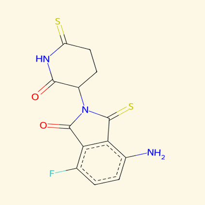 Nc1ccc(F)c2c1C(=S)N(C1CCC(=S)NC1=O)C2=O